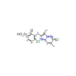 Cc1cc2nc(Cc3c(Cl)ccc(C(=O)O)c3Cl)c(C)n2nc1Cl